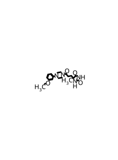 CCOc1cccc(N2CCN(C(=O)CC[C@]3(C)NC(=O)NC3=O)CC2)c1